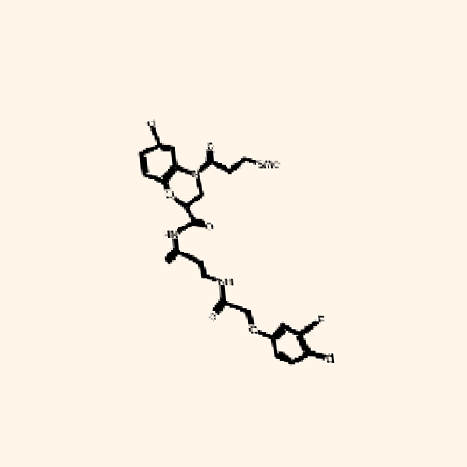 C=C(CCNC(=O)COc1ccc(Cl)c(F)c1)NC(=O)C1CN(C(=O)CCSC)c2cc(Cl)ccc2O1